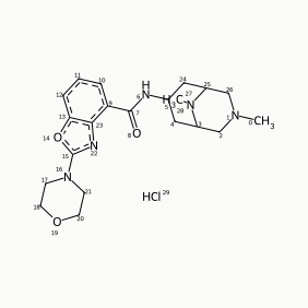 CN1CC2CC(NC(=O)c3cccc4oc(N5CCOCC5)nc34)CC(C1)N2C.Cl